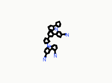 N#Cc1ccc(-c2cccc(-c3cccc(-n4c5ccc(C#N)cc5c5c(C#N)cccc54)c3)c2)c(N2C3=C(CCC=C3)C3C=CC=CC32)c1